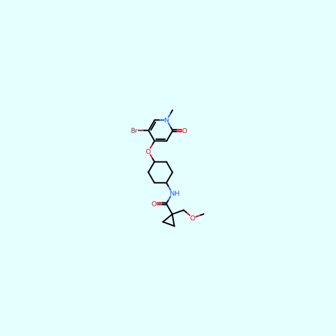 COCC1(C(=O)NC2CCC(Oc3cc(=O)n(C)cc3Br)CC2)CC1